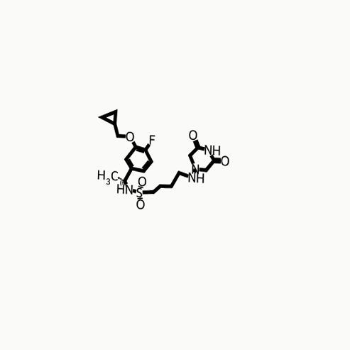 C[C@@H](NS(=O)(=O)CCCCNN1CC(=O)NC(=O)C1)c1ccc(F)c(OCC2CC2)c1